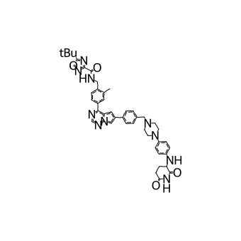 Cc1cc(-c2ncnn3cc(-c4ccc(CN5CCN(c6ccc(NC7CCC(=O)NC7=O)cc6)CC5)cc4)cc23)ccc1CNC(=O)c1noc(C(C)(C)C)n1